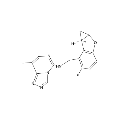 Cc1cnc(NCc2c(F)ccc3c2[C@H]2CC2O3)n2cnnc12